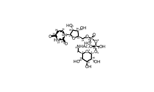 CC(=O)NC[C@H]1O[C@H](OP(=O)(O)OP(=O)(O)OC[C@H]2O[C@@H](n3ccc(=O)[nH]c3=O)[C@H](O)[C@@H]2O)[C@H](O)[C@@H](O)[C@@H]1O